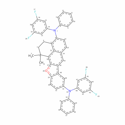 CC1(C)CCc2c(N(c3ccccc3)c3cc(F)cc(F)c3)ccc3cc4c(oc5ccc(N(c6ccccc6)c6cc(F)cc(F)c6)cc54)c1c23